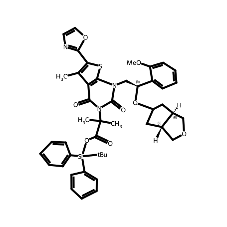 COc1ccccc1[C@H](Cn1c(=O)n(C(C)(C)C(=O)O[Si](c2ccccc2)(c2ccccc2)C(C)(C)C)c(=O)c2c(C)c(-c3ncco3)sc21)OC1C[C@H]2COC[C@@H]2C1